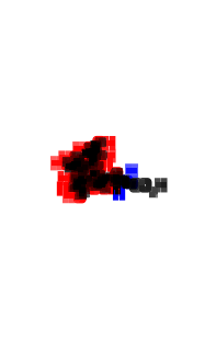 CCCOC[C@]1(OC[C@]2(OC[C@]3(O[C@@H]4OC[C@@](O)(CCO)C(O)C4O)O[C@@H](CO)C(O)C3O)O[C@@H](CO)C(O)C2O)O[C@@H](COC(=O)NCCNC(=O)O)C(O)C1O